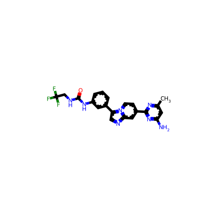 Cc1cc(N)nc(-c2ccn3c(-c4cccc(NC(=O)NCC(F)(F)F)c4)cnc3c2)n1